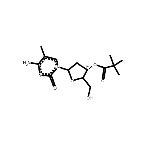 Cc1cn(C2C[C@H](OC(=O)C(C)(C)C)C(CO)O2)c(=O)nc1N